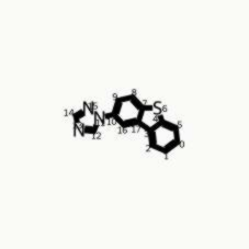 c1ccc2c(c1)sc1ccc(-n3cncn3)cc12